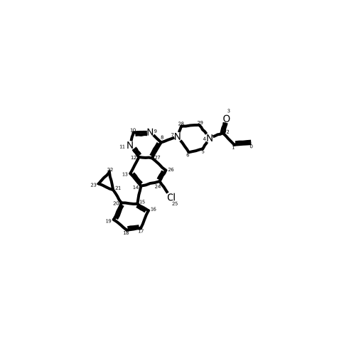 C=CC(=O)N1CCN(c2ncnc3cc(-c4ccccc4C4CC4)c(Cl)cc23)CC1